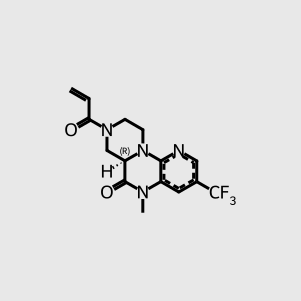 C=CC(=O)N1CCN2c3ncc(C(F)(F)F)cc3N(C)C(=O)[C@H]2C1